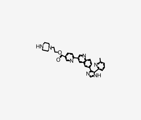 Cc1cccc(-c2[nH]cnc2-c2ccc3ncc(-c4ccc(C(=O)OCCN5CCNCC5)cn4)cc3c2)n1